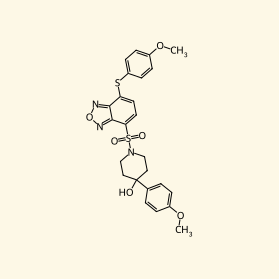 COc1ccc(Sc2ccc(S(=O)(=O)N3CCC(O)(c4ccc(OC)cc4)CC3)c3nonc23)cc1